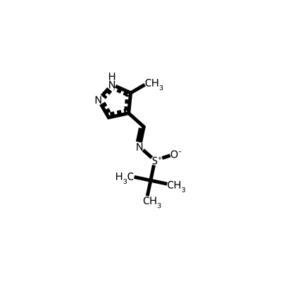 Cc1[nH]ncc1/C=N/[S+]([O-])C(C)(C)C